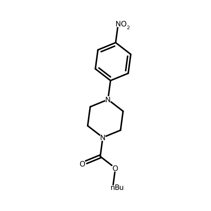 CCCCOC(=O)N1CCN(c2ccc([N+](=O)[O-])cc2)CC1